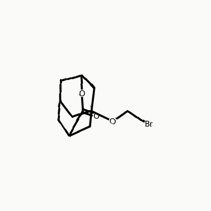 O=C1OC2CC3CC1CC(OCBr)(C3)C2